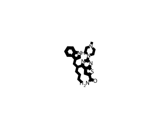 CCCCC(Cc1c[nH]c2ccccc12)c1nc(N2CCN(C)CC2)nc2sc(C(N)=O)cc12